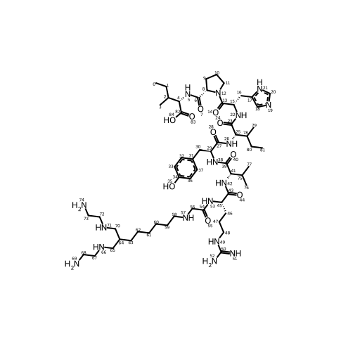 CCC(C)[C@H](NC(=O)[C@@H]1CCCN1C(=O)[C@H](Cc1cnc[nH]1)NC(=O)[C@@H](NC(=O)[C@H](Cc1ccc(O)cc1)NC(=O)[C@@H](NC(=O)[C@H](CCCNC(=N)N)NC(=O)CNCCCCCCC(CNCCN)CNCCN)C(C)C)C(C)CC)C(=O)O